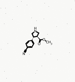 COC(=O)[C@@H]1CNC[C@H]1c1ccc(C#N)cc1